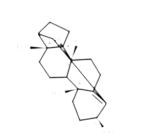 C[C@]12CC[C@H](O)C3=C1CC[C@@H]1C2CC[C@]2(C)C(CC[C@H]12)C3